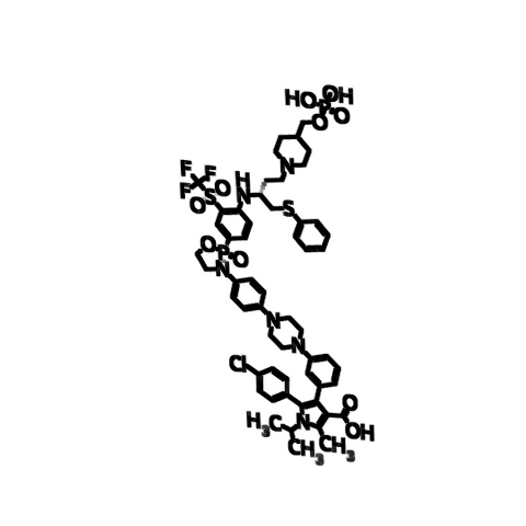 Cc1c(C(=O)O)c(-c2cccc(N3CCN(c4ccc(N5CCO[P@@]5(=O)c5ccc(N[C@H](CCN6CCC(COP(=O)(O)O)CC6)CSc6ccccc6)c(S(=O)(=O)C(F)(F)F)c5)cc4)CC3)c2)c(-c2ccc(Cl)cc2)n1C(C)C